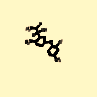 CC(F)P(=O)(O)c1cc(Oc2ccc(C(F)(F)F)cc2Cl)ccc1[N+](=O)[O-]